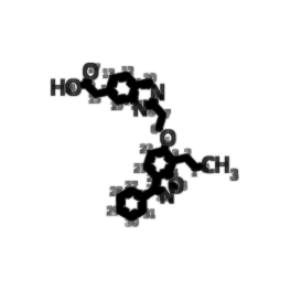 CCCc1c(OCCc2ncc3ccc(CC(=O)O)cc3n2)ccc2c(-c3ccccc3)noc12